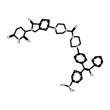 CC/C(=C(\c1ccc(B(O)O)cc1)c1ccc(N2CCN(C(=O)N3CCN(c4ccc5c(c4)CN(C4CCC(=O)NC4=O)C5=O)CC3)CC2)cc1)c1ccccc1